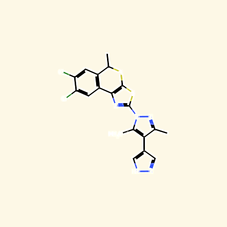 Cc1nn(-c2nc3c(s2)SC(C)c2cc(Cl)c(Cl)cc2-3)c(C(=O)O)c1-c1cn[nH]c1